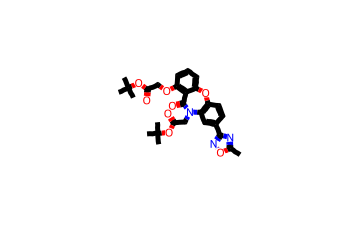 Cc1nc(-c2ccc3c(c2)N(CC(=O)OC(C)(C)C)C(=O)c2c(OCC(=O)OC(C)(C)C)cccc2O3)no1